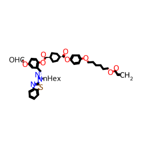 C=CC(=O)OCCCCCCOc1ccc(OC(=O)[C@H]2CC[C@H](C(=O)Oc3ccc(OC=O)cc3/C=N/N(CCCCCC)c3nc4ccccc4s3)CC2)cc1